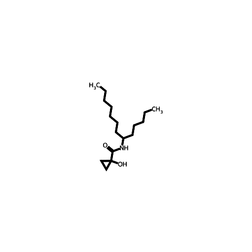 CCCCCCCC(CCCCC)NC(=O)C1(O)CC1